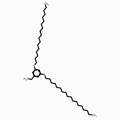 [CH2]Cc1cc(SCCCCCCCCCCCCCCCCCC)cc(SCCCCCCCCCCCCCCCCCC)c1